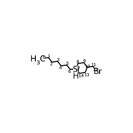 CCCCCCC[SiH]1CCC(CBr)CC1